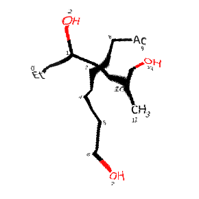 CCC(O)C(CCCO)(CC(C)=O)C(C)O